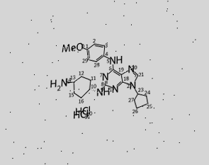 COc1ccc(Nc2nc(N[C@H]3CC[C@H](N)CC3)nc3c2ncn3C2CCCC2)cc1.Cl.Cl